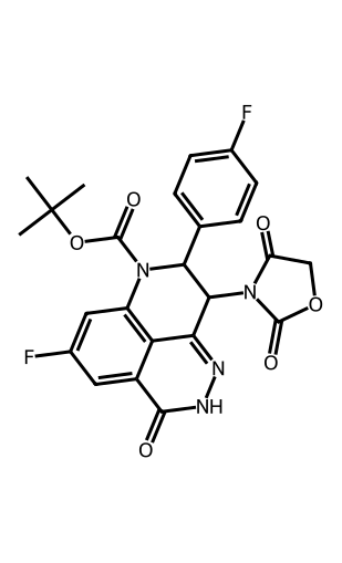 CC(C)(C)OC(=O)N1c2cc(F)cc3c(=O)[nH]nc(c23)C(N2C(=O)COC2=O)C1c1ccc(F)cc1